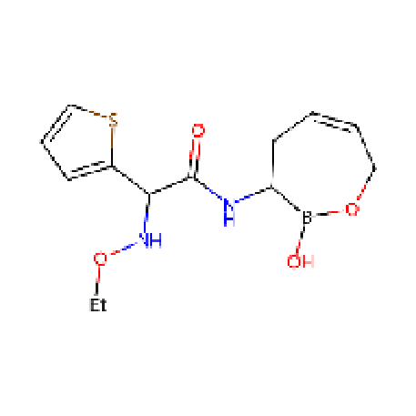 CCONC(C(=O)NC1CC=CCOB1O)c1cccs1